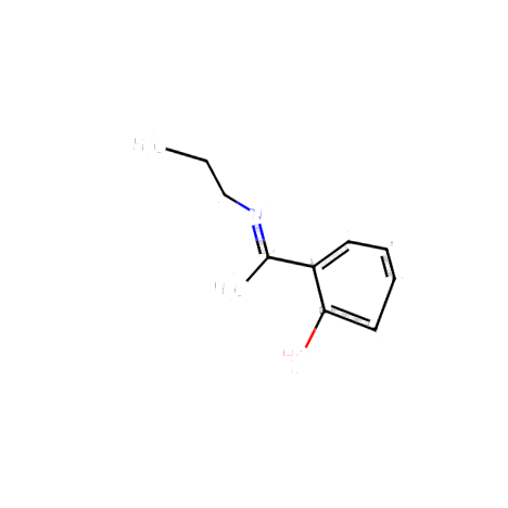 CCC/N=C(\C)c1ccccc1O